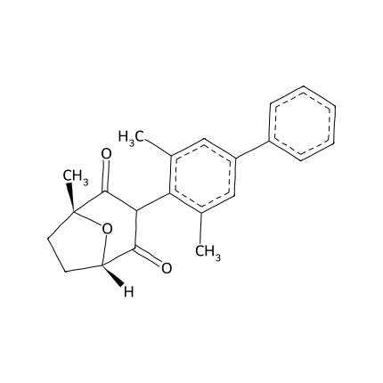 Cc1cc(-c2ccccc2)cc(C)c1C1C(=O)[C@@H]2CC[C@@](C)(O2)C1=O